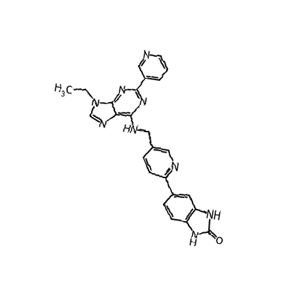 CCn1cnc2c(NCc3ccc(-c4ccc5[nH]c(=O)[nH]c5c4)nc3)nc(-c3cccnc3)nc21